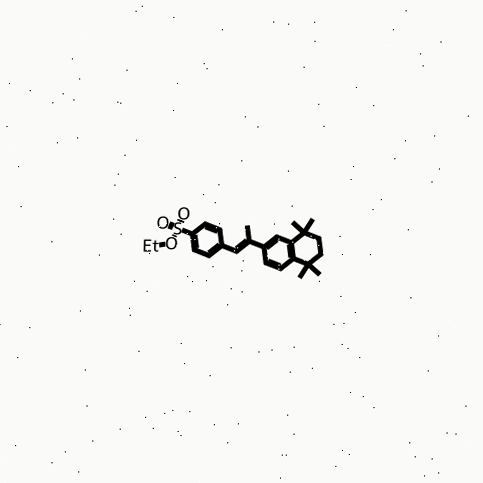 CCOS(=O)(=O)c1ccc(C=C(C)c2ccc3c(c2)C(C)(C)CCC3(C)C)cc1